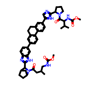 COC(=O)NCC(C)CC(=O)N1C2CCC(C2)C1c1nc2ccc(-c3ccc4c(c3)CCc3cc(-c5cnc(C6CCCN6C(=O)C(NC(=O)OC)C(C)C)[nH]5)ccc3-4)cc2[nH]1